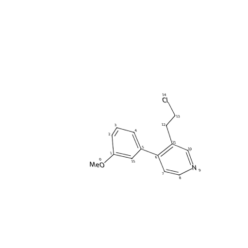 COc1cccc(-c2ccn[c]c2CCCl)c1